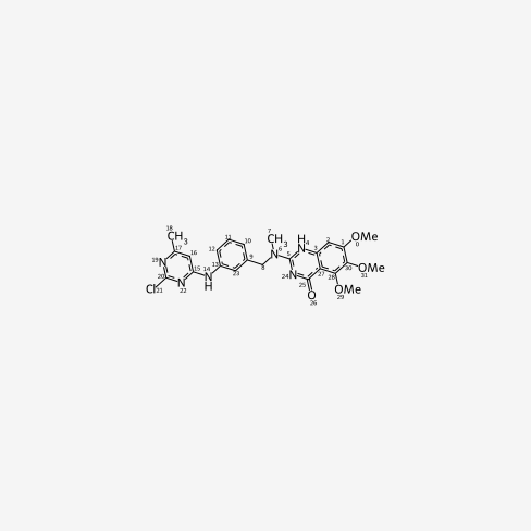 COc1cc2[nH]c(N(C)Cc3cccc(Nc4cc(C)nc(Cl)n4)c3)nc(=O)c2c(OC)c1OC